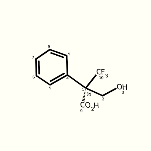 O=C(O)[C@](CO)(c1ccccc1)C(F)(F)F